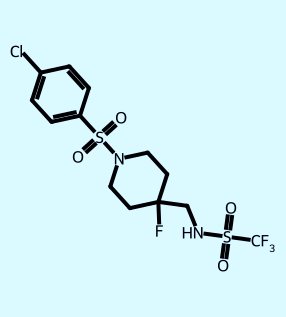 O=S(=O)(c1ccc(Cl)cc1)N1CCC(F)(CNS(=O)(=O)C(F)(F)F)CC1